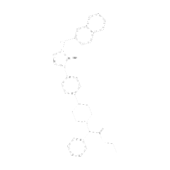 CCOC(=O)C(c1ccccc1)N1CCC(c2ccc(-n3ccn([C@H](C)c4ccc5ccccc5c4)c3=O)cc2)CC1